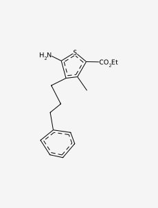 CCOC(=O)c1sc(N)c(CCCc2ccccc2)c1C